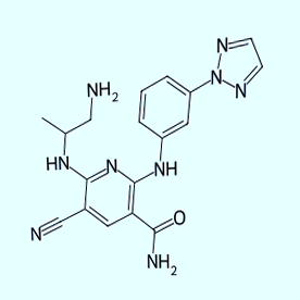 CC(CN)Nc1nc(Nc2cccc(-n3nccn3)c2)c(C(N)=O)cc1C#N